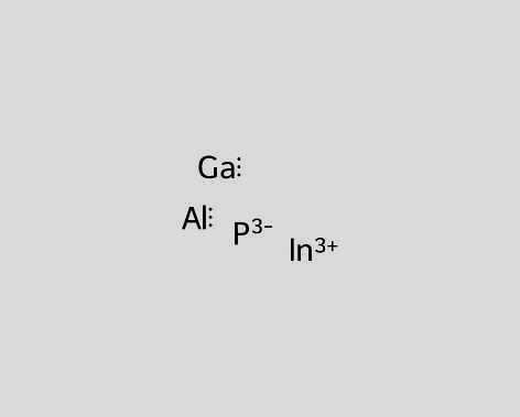 [Al].[Ga].[In+3].[P-3]